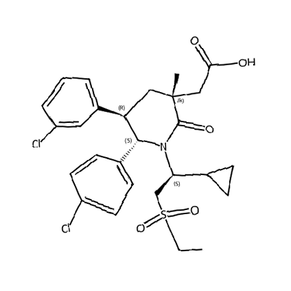 CCS(=O)(=O)C[C@H](C1CC1)N1C(=O)[C@@](C)(CC(=O)O)C[C@H](c2cccc(Cl)c2)[C@H]1c1ccc(Cl)cc1